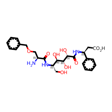 N[C@@H](COCc1ccccc1)C(=O)N[C@@H](CO)[C@@H](O)[C@@H](O)[C@H](O)C(=O)N[C@@H](CC(=O)O)c1ccccc1